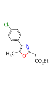 CCOC(=O)Cc1nc(-c2ccc(Cl)cc2)c(C)o1